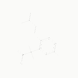 CC(C)COc1ccc(Cl)cc1C(F)(F)C(N)=S